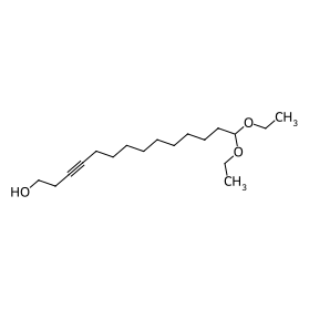 CCOC(CCCCCCCCCC#CCCO)OCC